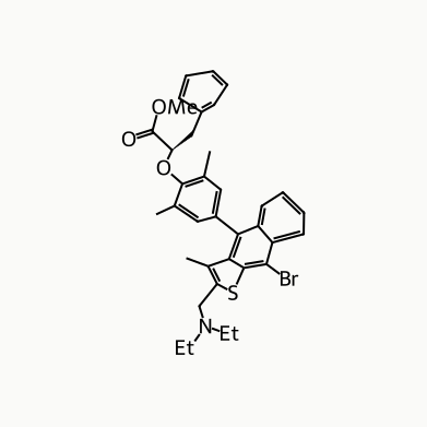 CCN(CC)Cc1sc2c(Br)c3ccccc3c(-c3cc(C)c(O[C@H](Cc4ccccc4)C(=O)OC)c(C)c3)c2c1C